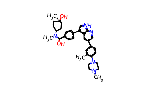 Cc1cc(-c2cnc3[nH]cc(-c4ccc(C(O)N(C)[C@H]5CC[C@@](C)(O)CC5)cc4)c3c2)ccc1N1CCN(C)CC1